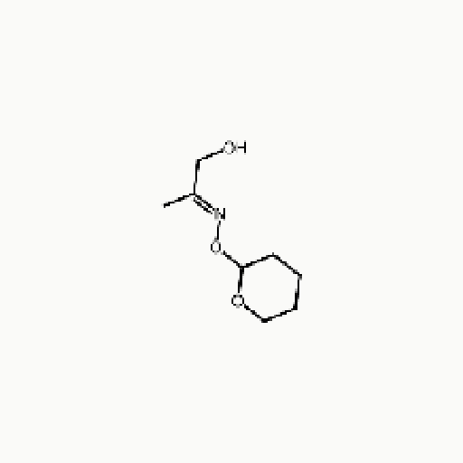 C/C(CO)=N\OC1CCCCO1